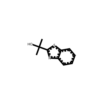 CC(C)(O)c1nc2cc[c]cc2s1